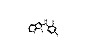 Cn1c(Nc2ccc(I)cc2F)cc2cccnc21